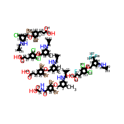 Cc1cc(COc2c(Br)cc(C(=O)NCC(=O)O)cc2Br)cc(NCC2CC2)c1.Cc1cc(COc2c(Br)cc(CCC(=O)O)cc2Br)cc(NCC2CC2)c1.Cc1cc(COc2c(Cl)cc(CCC(=O)O)cc2Cl)cc(NCC2CC2)c1.O=C(O)C(F)Cc1cc(Cl)c(OCc2cc(NCC3CC3)cc(C(F)(F)F)c2)c(Cl)c1.O=C(O)CCc1cc(Br)c(OCc2cc(Cl)cc(NCC3CC3)c2)c(Br)c1